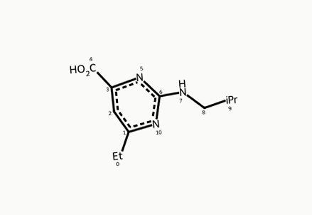 CCc1cc(C(=O)O)nc(NCC(C)C)n1